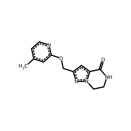 Cc1ccnc(OCc2cc3n(n2)CCNC3=O)c1